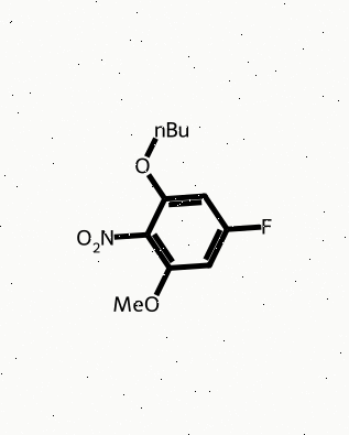 CCCCOc1cc(F)cc(OC)c1[N+](=O)[O-]